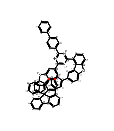 c1ccc(-c2ccc(-c3nc(-c4ccc5c(c4)sc4ccccc45)nc(-c4cccc5oc6ccc(-c7cccc(-c8cccc9c8C8(c%10ccccc%10-c%10ccccc%108)c8ccccc8-9)c7)cc6c45)n3)cc2)cc1